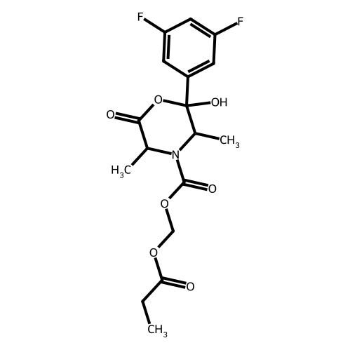 CCC(=O)OCOC(=O)N1C(C)C(=O)OC(O)(c2cc(F)cc(F)c2)C1C